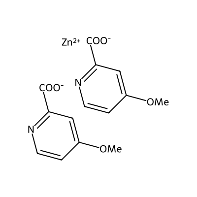 COc1ccnc(C(=O)[O-])c1.COc1ccnc(C(=O)[O-])c1.[Zn+2]